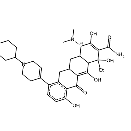 CCC1(O)C(C(N)=O)=C(O)[C@@H](N(C)C)C2CC3Cc4c(C5=CCN(C6CCCCC6)CC5)ccc(O)c4C(=O)C3=C(O)C21